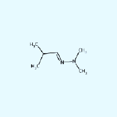 CC(C)C=NN(C)C